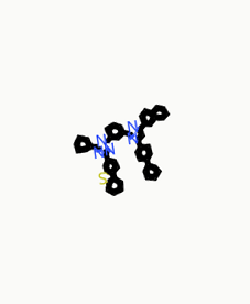 c1ccc(-c2ccc(-c3cc(-c4ccc5ccccc5c4)nc(-c4cccc(-c5nc(-c6ccccc6)nc(-c6ccc7c(c6)sc6ccccc67)n5)c4)n3)cc2)cc1